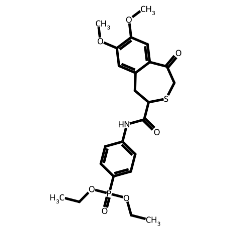 CCOP(=O)(OCC)c1ccc(NC(=O)C2Cc3cc(OC)c(OC)cc3C(=O)CS2)cc1